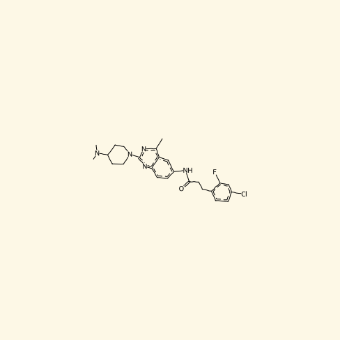 Cc1nc(N2CCC(N(C)C)CC2)nc2ccc(NC(=O)CCc3ccc(Cl)cc3F)cc12